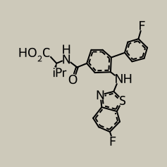 CC(C)[C@H](NC(=O)c1ccc(-c2cccc(F)c2)c(Nc2nc3ccc(F)cc3s2)c1)C(=O)O